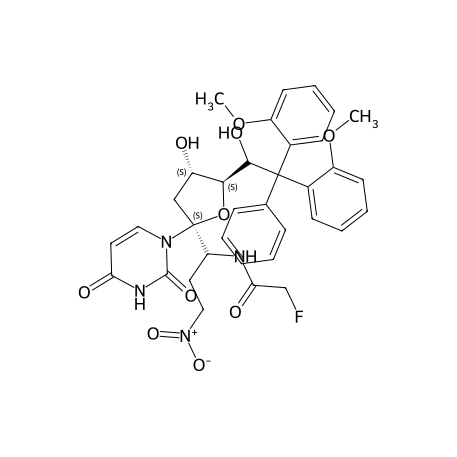 COc1ccccc1C(c1ccccc1)(c1ccccc1OC)C(O)[C@H]1O[C@@](C(CC[N+](=O)[O-])NC(=O)CF)(n2ccc(=O)[nH]c2=O)C[C@@H]1O